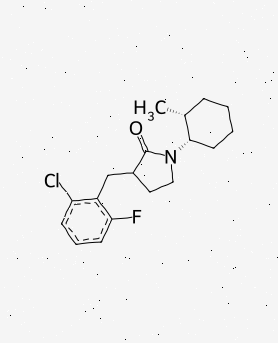 C[C@@H]1CCCC[C@@H]1N1CCC(Cc2c(F)cccc2Cl)C1=O